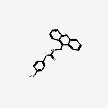 O=C(NCc1c2ccccc2cc2ccccc12)Nc1ccc(C(=O)O)cc1